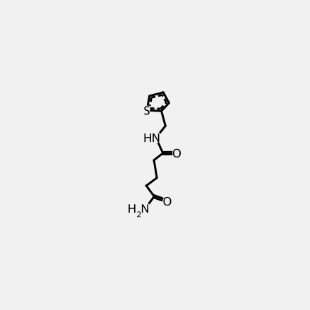 NC(=O)CCCC(=O)NCc1cccs1